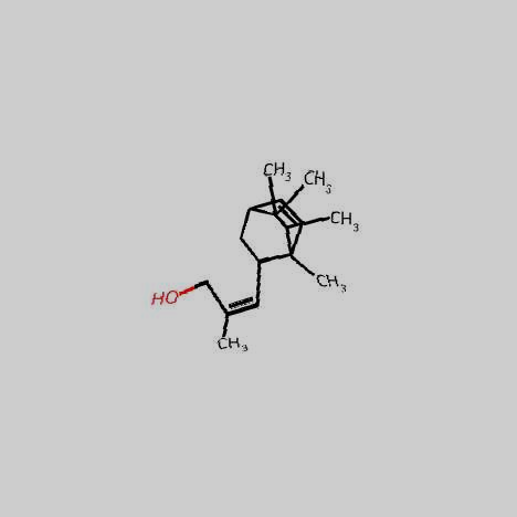 CC(=CC1CC2C=CC1(C)C(C)C2(C)C)CO